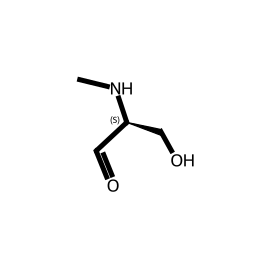 CN[C@H](C=O)CO